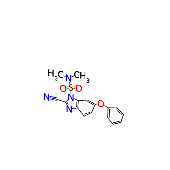 CN(C)S(=O)(=O)n1c(C#N)nc2ccc(Oc3ccccc3)cc21